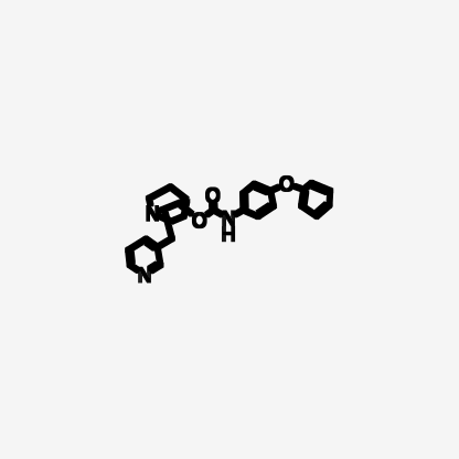 O=C(Nc1ccc(Oc2ccccc2)cc1)OC1C2CCN(CC2)C1Cc1cccnc1